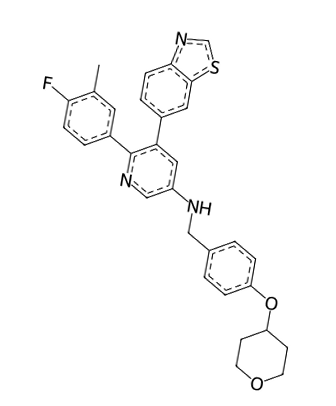 Cc1cc(-c2ncc(NCc3ccc(OC4CCOCC4)cc3)cc2-c2ccc3ncsc3c2)ccc1F